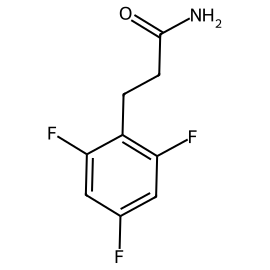 NC(=O)CCc1c(F)cc(F)cc1F